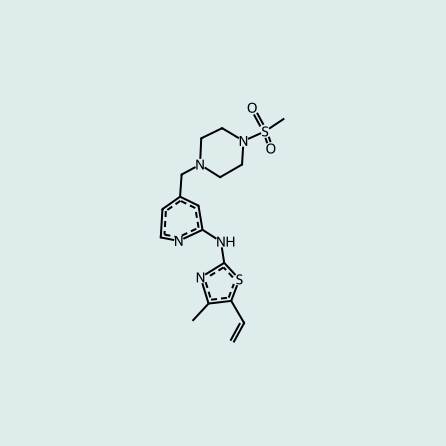 C=Cc1sc(Nc2cc(CN3CCN(S(C)(=O)=O)CC3)ccn2)nc1C